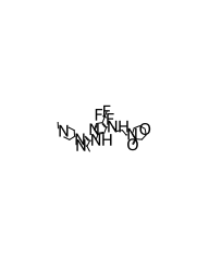 CCN1CCC(n2cc(Nc3cc(NCCCN4CCOCCC4=O)c(C(F)(F)F)cn3)c(C)n2)CC1